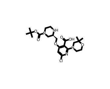 CC(C)(C)OC(=O)N1CCN[C@@H](COc2cc(Cl)nc(N3CCOC(C)(C)C3)c2C(=O)O)C1